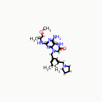 C=C/C=C(\C=C(/C)CN1CCCC1)CN1CC(=O)Nc2c(N)nc(N[C@@H](C)COC)nc21